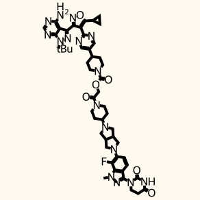 Cn1nc(N2CCC(=O)NC2=O)c2ccc(N3CC4CN(C5CCN(C(=O)COC(=O)N6CCC(c7cnc(-c8c(-c9nn(C(C)(C)C)c%10ncnc(N)c9%10)noc8C8CC8)nc7)CC6)CC5)CC4C3)c(F)c21